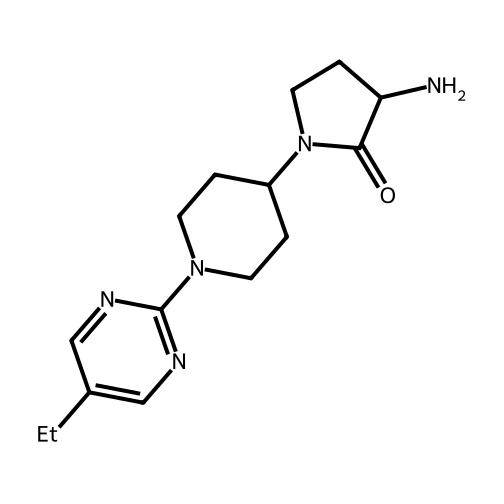 CCc1cnc(N2CCC(N3CCC(N)C3=O)CC2)nc1